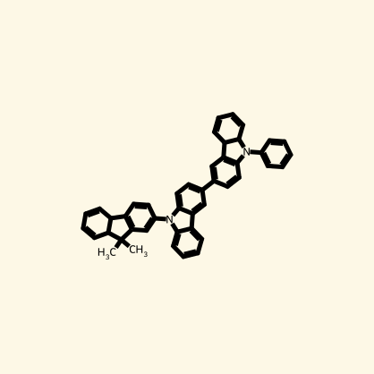 CC1(C)c2cc(-n3c4ccccc4c4cc(-c5ccc6c(c5)C5C=CC=CC5N6c5ccccc5)ccc43)ccc2C2C=CC=CC21